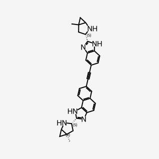 CC12CC1N[C@H](c1nc3cc(C#Cc4ccc5c(ccc6nc([C@@H]7C[C@@]8(C)CC8N7)[nH]c65)c4)ccc3[nH]1)C2